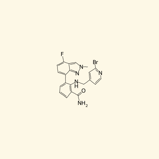 Cn1cc2c(F)ccc(-c3cccc(C(N)=O)c3NCc3ccnc(Br)c3)c2n1